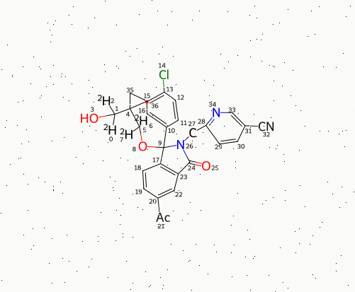 [2H]C([2H])(O)C1(C([2H])([2H])OC2(c3ccc(Cl)cc3)c3ccc(C(C)=O)cc3C(=O)N2Cc2ccc(C#N)cn2)CC1